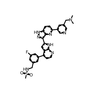 CN(C)Cc1cncc(-c2ccc3[nH]nc(-c4cc5c(-c6cc(F)cc(CNS(C)(=O)=O)c6)ccnc5[nH]4)c3n2)c1